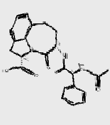 CC(=O)N[C@H](C(=O)N[C@H]1CCc2cccc3c2N(C1=O)[C@H](C(=O)O)C3)c1ccccc1